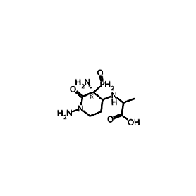 CC(NC1CCN(N)C(=O)[C@@]1(N)[PH2]=O)C(=O)O